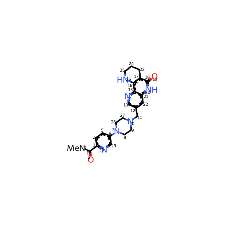 CNC(=O)c1ccc(N2CCN(Cc3cnc4c5c(c(=O)[nH]c4c3)CCCN5)CC2)cn1